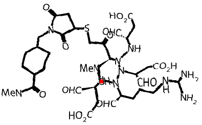 CNC(=O)C1CCC(CN2C(=O)CC(SCC(=O)[C@H](CS)N(N[C@H](C=O)CC(=O)O)N([C@H](C=O)CC(=O)O)N([C@H](C=O)CCCNC(N)N)N(NC)[C@H](C=O)CC(=O)O)C2=O)CC1